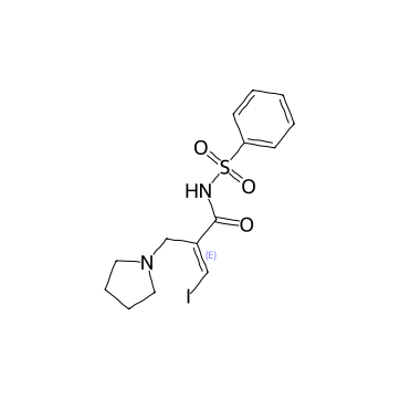 O=C(NS(=O)(=O)c1ccccc1)/C(=C/I)CN1CCCC1